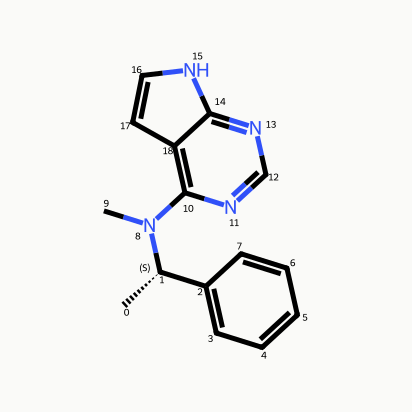 C[C@@H](c1ccccc1)N(C)c1ncnc2[nH]ccc12